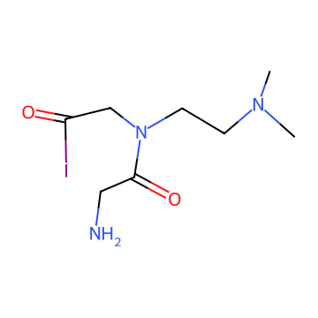 CN(C)CCN(CC(=O)I)C(=O)CN